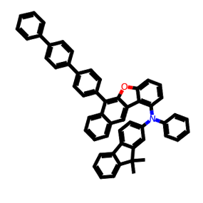 CC1(C)c2ccccc2-c2ccc(N(c3ccccc3)c3cccc4oc5c(-c6ccc(-c7ccc(-c8ccccc8)cc7)cc6)c6ccccc6cc5c34)cc21